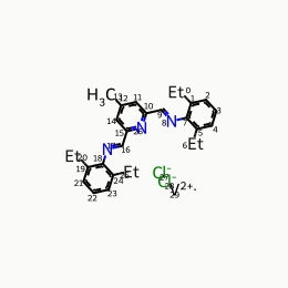 CCc1cccc(CC)c1N=Cc1cc(C)cc(C=Nc2c(CC)cccc2CC)n1.[Cl-].[Cl-].[V+2]